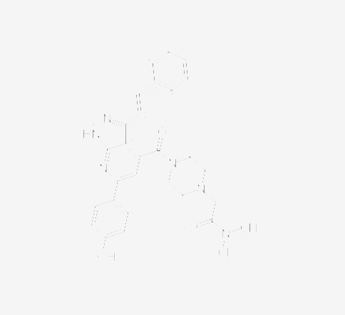 CN(C)C(=O)CN1CCN(C(=O)c2cc(-c3ccc(O)cc3)nc3[nH]nc(/C=C/c4ccccc4)c23)CC1